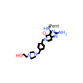 CCC[C@@H](C)Nc1nc(N)nc2ccn(Cc3ccc(CN4CCN(CCO)CC4)cc3)c(=O)c12